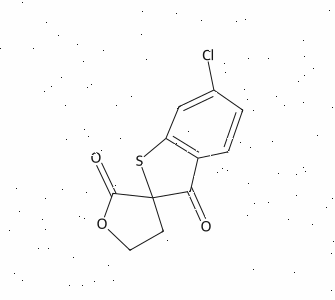 O=C1OCCC12Sc1cc(Cl)ccc1C2=O